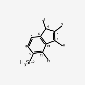 CC1=C(C)C(C)c2ccc([SiH3])c(C)c21